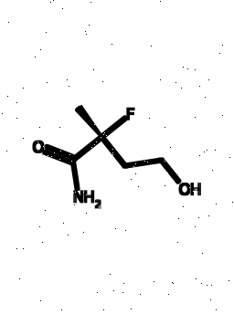 C[C@@](F)(CCO)C(N)=O